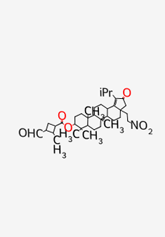 CC(C)C1=C2C3CCC4C(C)(CCC5C(C)(C)C(OC(=O)C6CC(C=O)C6C)CCC54C)C3CCC2(CC[N+](=O)[O-])CC1=O